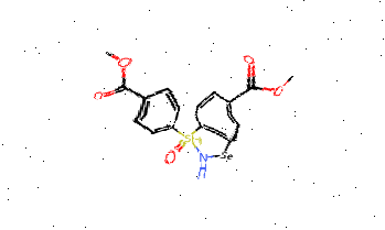 COC(=O)c1ccc([SH]2(=O)N[Se]c3cc(C(=O)OC)ccc32)cc1